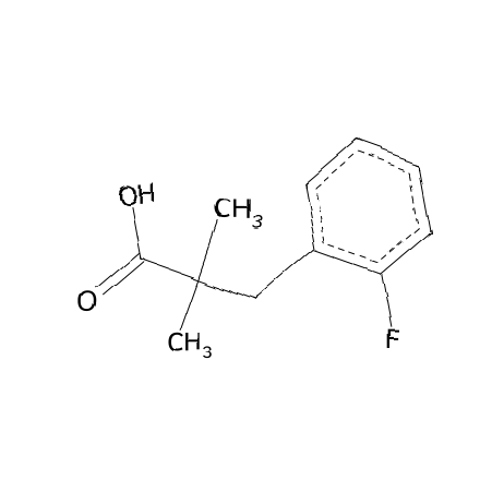 CC(C)(Cc1ccccc1F)C(=O)O